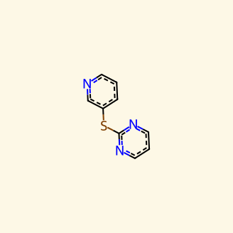 c1cnc(Sc2cccnc2)nc1